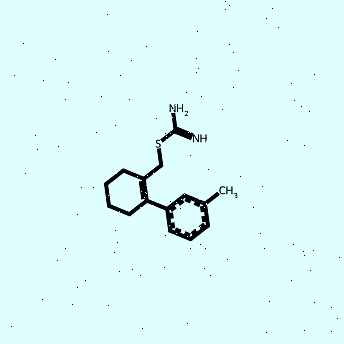 Cc1cccc(C2=C(CSC(=N)N)CCCC2)c1